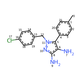 Cc1ccc(-c2c(N)c(N)nn2Cc2ccc(Cl)cc2)cc1